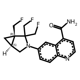 NC(=O)c1ccnc2ccc(N3C[C@H]4C[C@]4(CF)C3(CF)CF)cc12